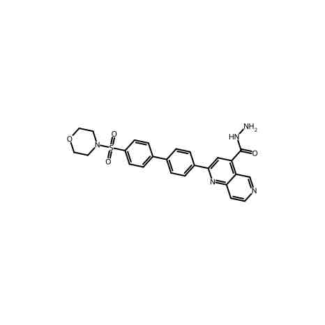 NNC(=O)c1cc(-c2ccc(-c3ccc(S(=O)(=O)N4CCOCC4)cc3)cc2)nc2ccncc12